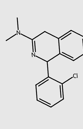 CN(C)C1=NC(c2ccccc2Cl)c2ccccc2C1